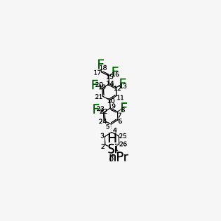 CCC[Si@H]1CC[C@H](c2cc(F)c(-c3cc(F)c(C(F)=CF)c(F)c3)c(F)c2)CC1